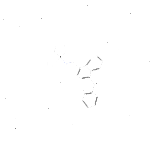 CCC(C)(C)NCc1ccc(Cc2ccccc2)c2ccccc12